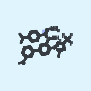 CSc1cccc(-c2ccc(-n3cc(C(F)(F)F)nc3C)c(N(N)/C(=C\N)c3ccc(C(C)C)cc3)c2)c1